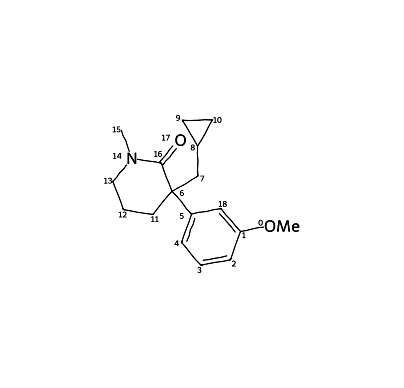 COc1cccc(C2(CC3CC3)CCCN(C)C2=O)c1